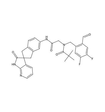 CC(C)(C)C(=O)N(CC(=O)Nc1ccc2c(c1)CC1(C2)C(=O)Nc2ncccc21)Cc1cc(F)c(F)cc1C=O